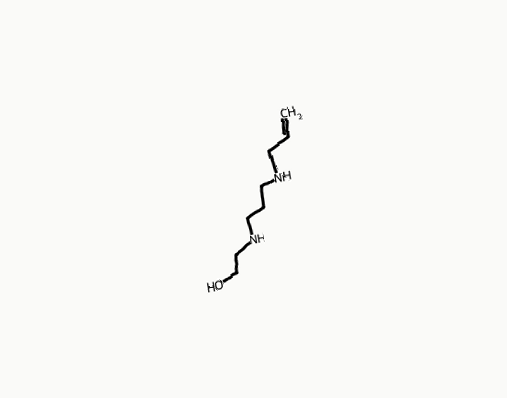 C=CCNCCCNCCO